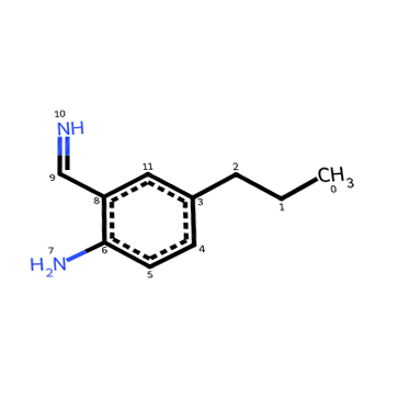 CCCc1ccc(N)c(C=N)c1